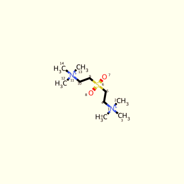 C[N+](C)(C)CCS(=O)(=O)CC[N+](C)(C)C